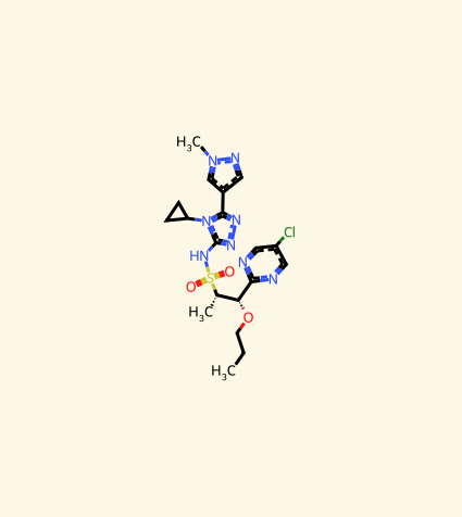 CCCO[C@@H](c1ncc(Cl)cn1)[C@H](C)S(=O)(=O)Nc1nnc(-c2cnn(C)c2)n1C1CC1